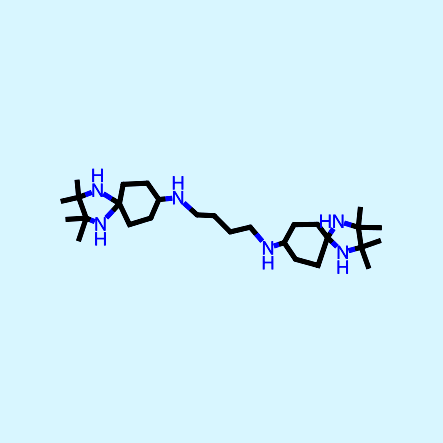 CC1(C)NC2(CCC(NCCCCNC3CCC4(CC3)NC(C)(C)C(C)(C)N4)CC2)NC1(C)C